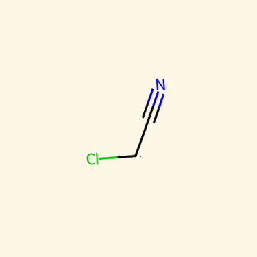 N#C[CH]Cl